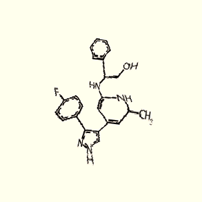 CC1C=C(c2c[nH]nc2-c2ccc(F)cc2)C=C(N[C@H](CO)c2ccccc2)N1